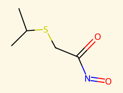 CC(C)SCC(=O)N=O